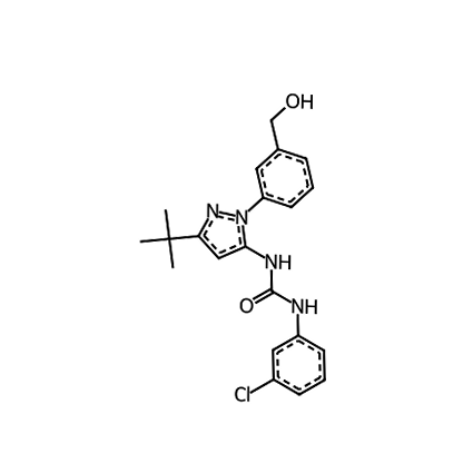 CC(C)(C)c1cc(NC(=O)Nc2cccc(Cl)c2)n(-c2cccc(CO)c2)n1